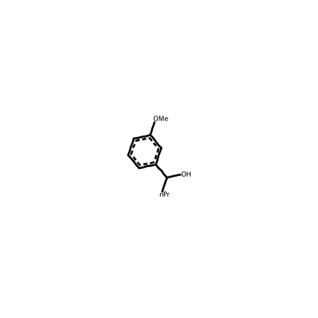 CCCC(O)c1cccc(OC)c1